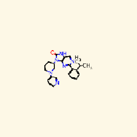 CC(C)c1ccccc1-c1ncc2[nH]c(=O)n(C3CCCN(c4cccnc4)C3)c2n1